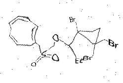 CCC(OS(=O)(=O)c1ccccc1)C1(Br)CC1(Br)Br